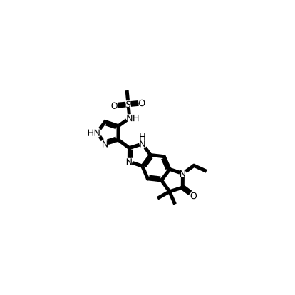 CCN1C(=O)C(C)(C)c2cc3nc(-c4n[nH]cc4NS(C)(=O)=O)[nH]c3cc21